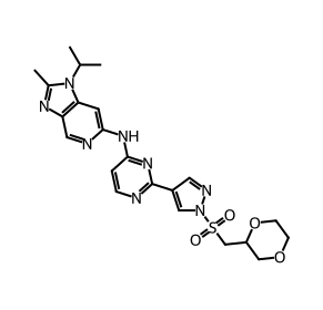 Cc1nc2cnc(Nc3ccnc(-c4cnn(S(=O)(=O)CC5COCCO5)c4)n3)cc2n1C(C)C